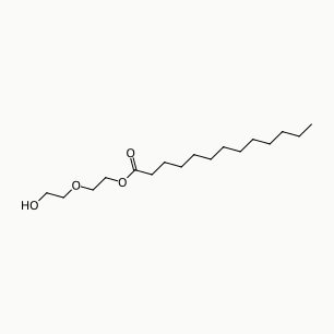 CCCCCCCCCCCCC(=O)OCCOCCO